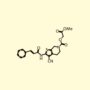 COC(=O)COC(=O)N1CCc2c(sc(NC(=O)C=Cc3ccccc3)c2C#N)C1